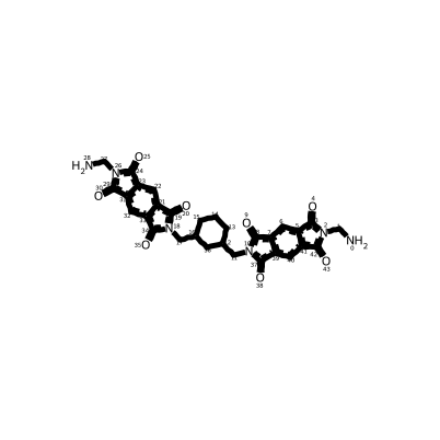 NCn1c(=O)c2cc3c(=O)n(CC4CCCC(Cn5c(=O)c6cc7c(=O)n(CN)c(=O)c7cc6c5=O)C4)c(=O)c3cc2c1=O